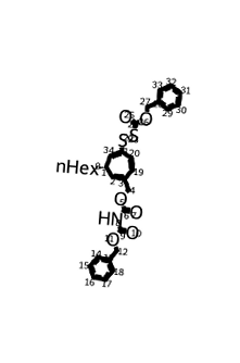 CCCCCC[C@H]1C=C(COC(=O)NC(=O)OCc2ccccc2)C=CC(SSC(=O)OCc2ccccc2)=C1